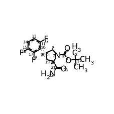 CC(C)(C)OC(=O)N1C[C@@H](c2c(F)ccc(F)c2F)C[C@@H]1C(N)=O